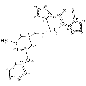 CCCC(CC[C@@H](Oc1cccc2ccoc12)c1cccs1)CC(=O)Oc1ccccc1